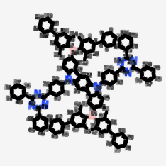 Cc1cc(-c2ccccc2)cc(C)c1B(c1ccc2c(c1)c1cc3c(cc1n2-c1ccc(-c2nc(-c4ccccc4)nc(-c4ccccc4)n2)cc1)c1cc(B(c2c(C)cc(-c4ccccc4)cc2C)c2c(C)cc(-c4ccccc4)cc2C)ccc1n3-c1ccc(-c2nc(-c3ccccc3)nc(-c3ccccc3)n2)cc1)c1c(C)cc(-c2ccccc2)cc1C